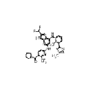 COc1c(Nc2cc(Nc3ccc(C(=O)N4CCCC4)c(C(F)(F)F)n3)nc3[nH]c(C(F)F)nc23)cccc1-c1nnn(C)n1